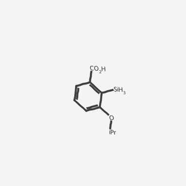 CC(C)Oc1cccc(C(=O)O)c1[SiH3]